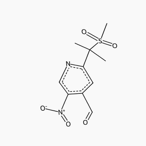 CC(C)(c1cc(C=O)c([N+](=O)[O-])cn1)S(C)(=O)=O